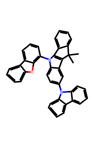 CC1(C)c2ccccc2-c2c1c1cc(-n3c4ccccc4c4ccccc43)ccc1n2-c1cccc2c1oc1ccccc12